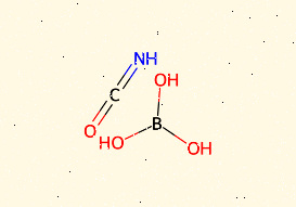 N=C=O.OB(O)O